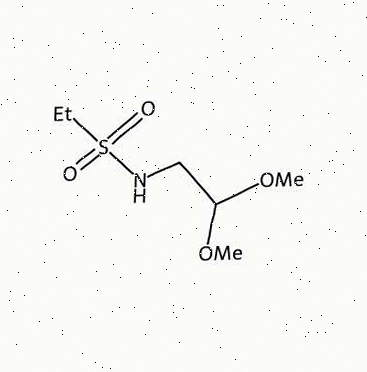 CCS(=O)(=O)NCC(OC)OC